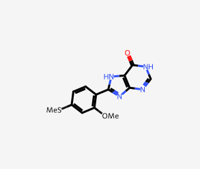 COc1cc(SC)ccc1-c1nc2nc[nH]c(=O)c2[nH]1